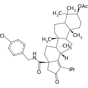 CC(=O)O[C@H]1CC[C@@]2(C)C(CC[C@]3(C)C2CC[C@@H]2C4=C(C(C)C)C(=O)C[C@]4(C(=O)NCc4ccc(Cl)cc4)CC[C@]23C)C1(C)C